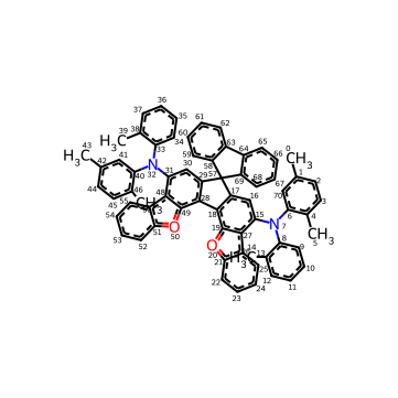 Cc1ccc(C)c(N(c2ccccc2C)c2cc3c(c4oc5ccccc5c24)-c2c(cc(N(c4ccccc4C)c4cc(C)ccc4C)c4c2oc2ccccc24)C32c3ccccc3-c3ccccc32)c1